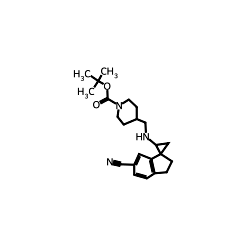 CC(C)(C)OC(=O)N1CCC(CNC2CC23CCc2ccc(C#N)cc23)CC1